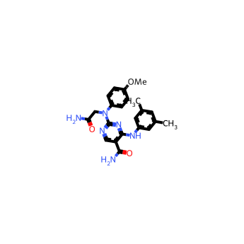 COc1ccc(N(CC(N)=O)c2ncc(C(N)=O)c(Nc3cc(C)cc(C)c3)n2)cc1